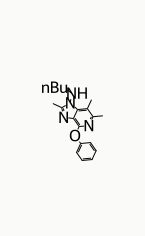 CCCCNn1c(C)nc2c(Oc3ccccc3)nc(C)c(C)c21